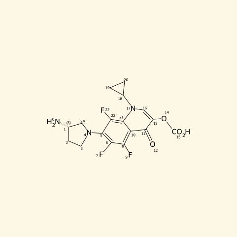 N[C@H]1CCN(c2c(F)c(F)c3c(=O)c(OC(=O)O)cn(C4CC4)c3c2F)C1